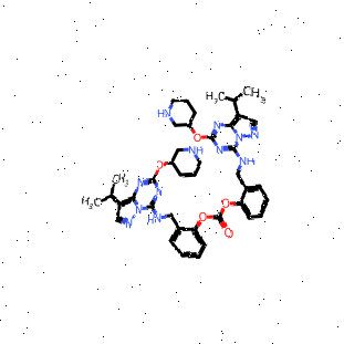 CC(C)c1cnn2c(NCc3ccccc3OC(=O)Oc3ccccc3CNc3nc(OC4CCCNC4)nc4c(C(C)C)cnn34)nc(OC3CCCNC3)nc12